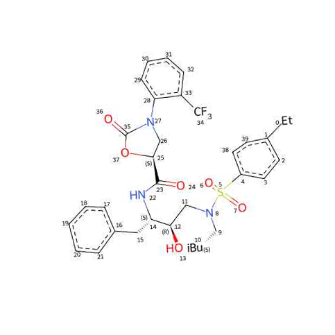 CCc1ccc(S(=O)(=O)N(C[C@@H](C)CC)C[C@@H](O)[C@H](Cc2ccccc2)NC(=O)[C@@H]2CN(c3ccccc3C(F)(F)F)C(=O)O2)cc1